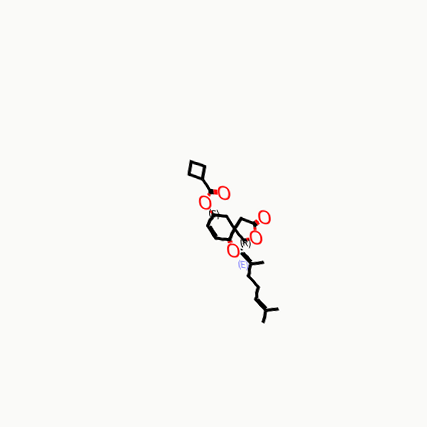 CC(C)=CCC/C(C)=C/[C@H]1OC(=O)CC12C[C@H](OC(=O)C1CCC1)C=CC2=O